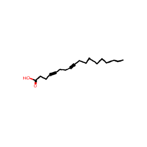 CCCCCCCCCC#CCCC#CCCC(=O)O